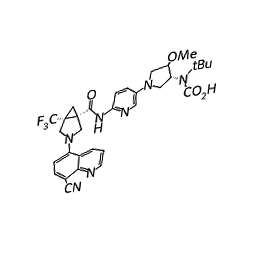 CO[C@@H]1CN(c2ccc(NC(=O)[C@]34CN(c5ccc(C#N)c6ncccc56)C[C@@]3(C(F)(F)F)C4)nc2)C[C@H]1N(C(=O)O)C(C)(C)C